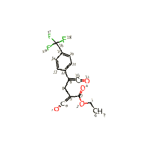 CCOC(=O)C(=C=O)CC(=C=O)c1ccc(C(F)(F)F)cc1